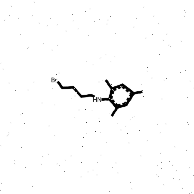 Cc1cc(C)c(NCCCCBr)c(C)c1